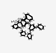 CC1(C)c2ccccc2N(c2ccccc2)c2cc3c(cc21)c1ccccc1n3-c1cc(-c2ccccc2)cc(-c2ccccc2)c1